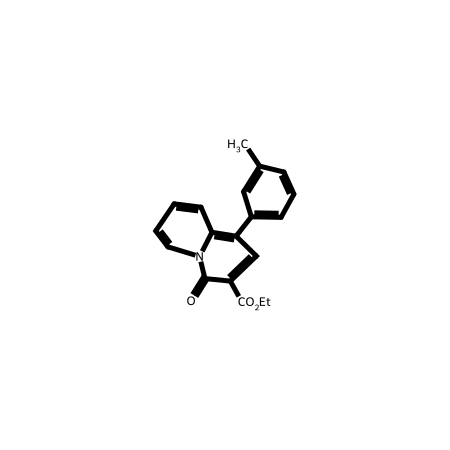 CCOC(=O)c1cc(-c2cccc(C)c2)c2ccccn2c1=O